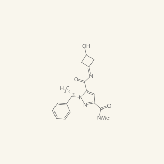 CNC(=O)c1cc(C(=O)N=C2CC(O)C2)n([C@@H](C)c2ccccc2)n1